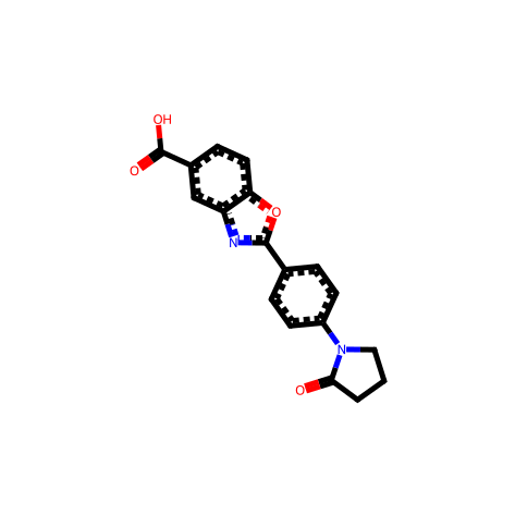 O=C(O)c1ccc2oc(-c3ccc(N4CCCC4=O)cc3)nc2c1